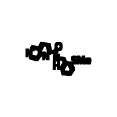 CSc1ccccc1CNC(=O)c1ccc2cnccc2n1